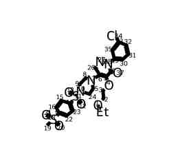 CCOCCOc1c(N2CCN(S(=O)(=O)c3ccc(S(C)(=O)=O)cc3)CC2)cnn(-c2cccc(Cl)c2)c1=O